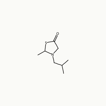 CC(C)CN1CC(=O)SC1C